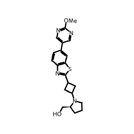 COc1ncc(-c2ccc3nc(C4CC(N5CCC[C@H]5CO)C4)sc3c2)cn1